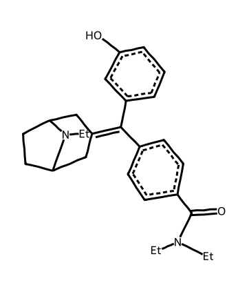 CCN(CC)C(=O)c1ccc(C(=C2CC3CCC(C2)N3CC)c2cccc(O)c2)cc1